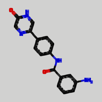 Nc1cccc(C(=O)Nc2ccc(-c3c[nH]c(=O)cn3)cc2)c1